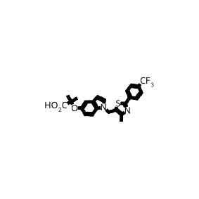 Cc1nc(-c2ccc(C(F)(F)F)cc2)sc1Cn1ccc2cc(OC(C)(C)C(=O)O)ccc21